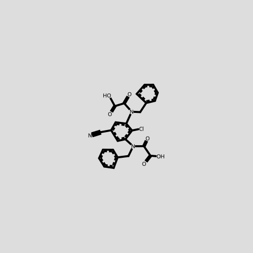 N#Cc1cc(N(Cc2ccccc2)C(=O)C(=O)O)c(Cl)c(N(Cc2ccccc2)C(=O)C(=O)O)c1